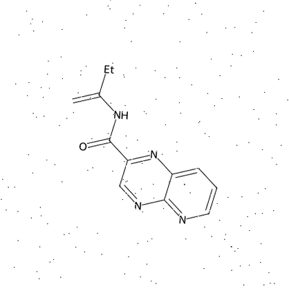 C=C(CC)NC(=O)c1cnc2ncccc2n1